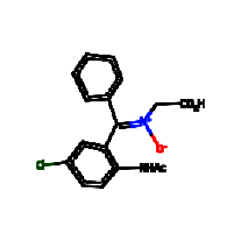 CC(=O)Nc1ccc(Cl)cc1C(c1ccccc1)=[N+]([O-])CC(=O)O